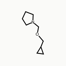 C1CCN(COCC2CC2)C1